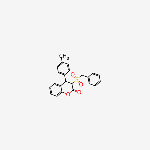 Cc1ccc(C2c3ccccc3OC(=O)C2S(=O)(=O)Cc2ccccc2)cc1